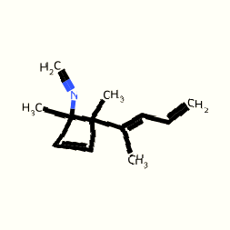 C=C/C=C(\C)C1(C)C=CC1(C)N=C